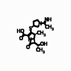 CC(=N)N1CC[C@H](SC2=C(C(=O)O)N3C(=O)[C@H]([C@@H](C)O)C3[C@H]2C)C1